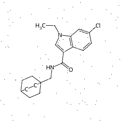 CCn1cc(C(=O)NCC23CCC(CC2)CC3)c2ccc(Cl)cc21